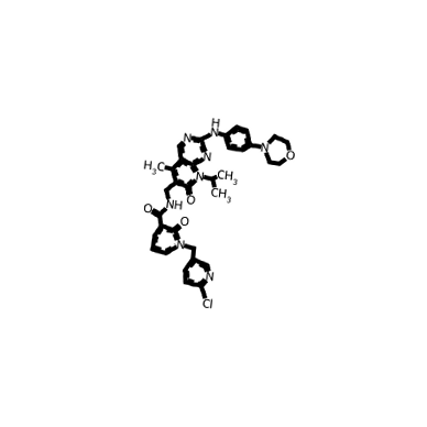 Cc1c(CNC(=O)c2cccn(Cc3ccc(Cl)nc3)c2=O)c(=O)n(C(C)C)c2nc(Nc3ccc(N4CCOCC4)cc3)ncc12